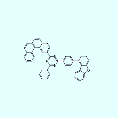 c1ccc(-c2nc(-c3ccc(-c4cccc5oc6ccccc6c45)cc3)nc(-c3ccc4ccc5ccc6ccccc6c5c4c3)n2)cc1